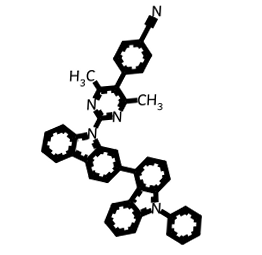 Cc1nc(-n2c3ccccc3c3ccc(-c4cccc5c4c4ccccc4n5-c4ccccc4)cc32)nc(C)c1-c1ccc(C#N)cc1